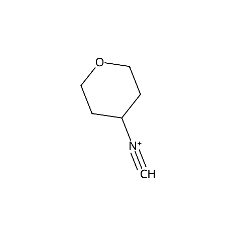 C#[N+]C1CCOCC1